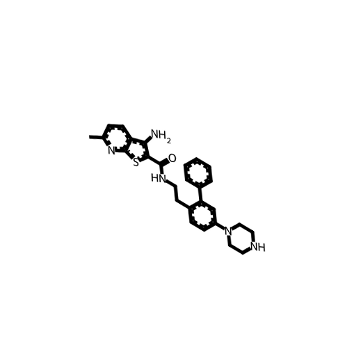 Cc1ccc2c(N)c(C(=O)NCCc3ccc(N4CCNCC4)cc3-c3ccccc3)sc2n1